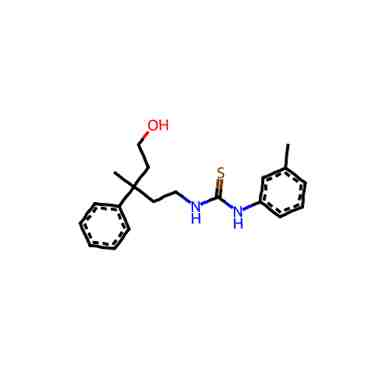 Cc1cccc(NC(=S)NCCC(C)(CCO)c2ccccc2)c1